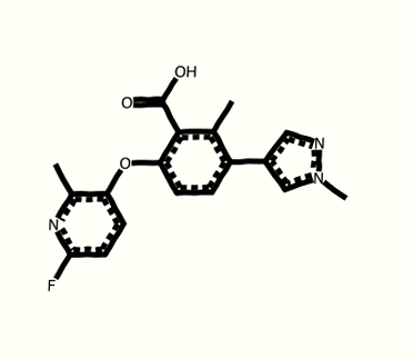 Cc1nc(F)ccc1Oc1ccc(-c2cnn(C)c2)c(C)c1C(=O)O